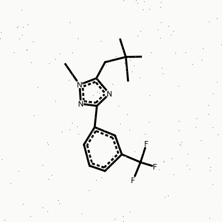 Cn1nc(-c2cccc(C(F)(F)F)c2)nc1CC(C)(C)C